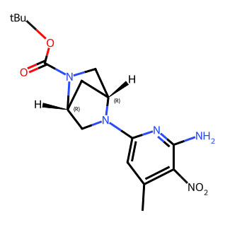 Cc1cc(N2C[C@H]3C[C@@H]2CN3C(=O)OC(C)(C)C)nc(N)c1[N+](=O)[O-]